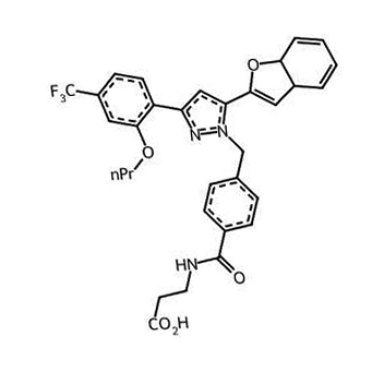 CCCOc1cc(C(F)(F)F)ccc1-c1cc(C2=CC3C=CC=CC3O2)n(Cc2ccc(C(=O)NCCC(=O)O)cc2)n1